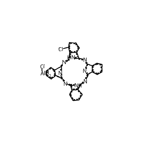 Clc1cccc2c3nc4nc(nc5[nH]c(nc6nc(nc([nH]3)c12)-c1ccccc1-6)c1ccccc51)-c1ccccc1-4.[AlH2][Cl]